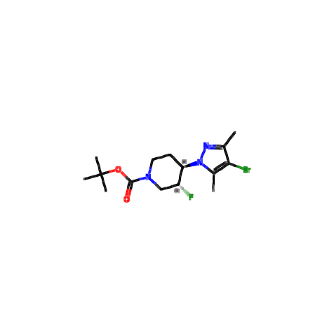 Cc1nn([C@@H]2CCN(C(=O)OC(C)(C)C)C[C@H]2F)c(C)c1Br